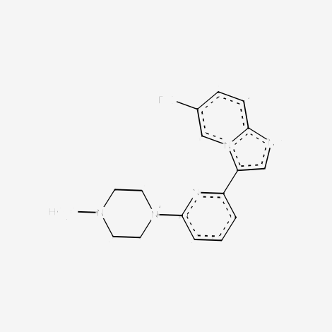 O=C(O)N1CCN(c2cccc(-c3cnc4ccc(C(F)(F)F)cn34)n2)CC1